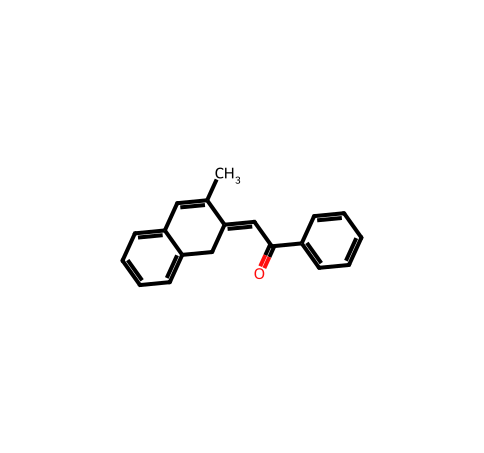 CC1=Cc2ccccc2CC1=CC(=O)c1ccccc1